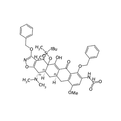 COc1cc(N[SH](=O)=O)c(OCc2ccccc2)c2c1C[C@H]1C[C@H]3[C@H](N(C)C)c4onc(OCc5ccccc5)c4C(=O)C3(O[Si](C)(C)C(C)(C)C)C(O)=C1C2=O